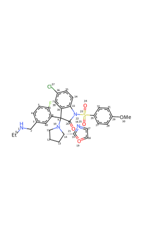 CCNCc1ccc(F)c(C2(N3CCC[C@H]3c3ncco3)C(=O)N(S(=O)(=O)c3ccc(OC)cc3)c3ccc(Cl)cc32)c1